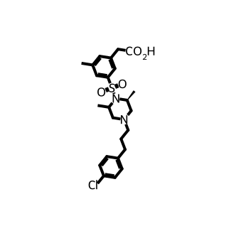 Cc1cc(CC(=O)O)cc(S(=O)(=O)N2C(C)CN(CCCc3ccc(Cl)cc3)C[C@@H]2C)c1